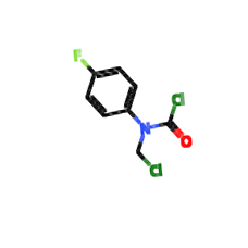 O=C(Cl)N(CCl)c1ccc(F)cc1